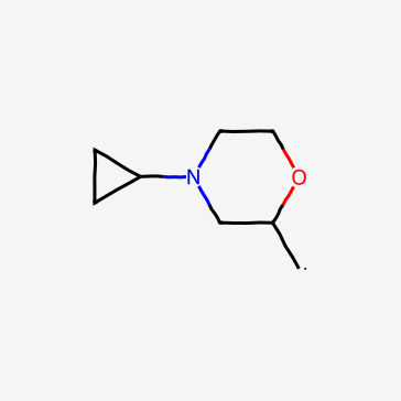 [CH2]C1CN(C2CC2)CCO1